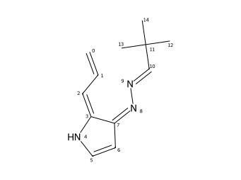 C=C/C=C1/NC=C/C1=N/N=C/C(C)(C)C